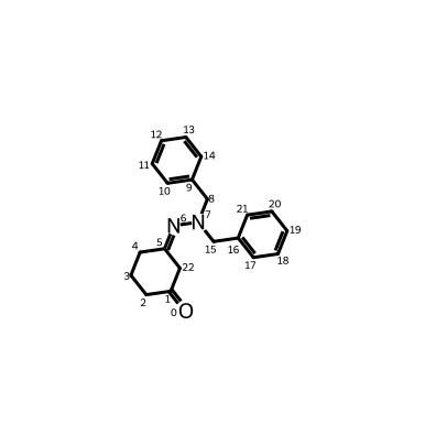 O=C1CCC/C(=N/N(Cc2ccccc2)Cc2ccccc2)C1